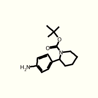 CC(C)(C)OC(=O)N1CCCCC1c1ccc(N)cc1